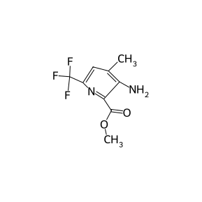 COC(=O)c1nc(C(F)(F)F)cc(C)c1N